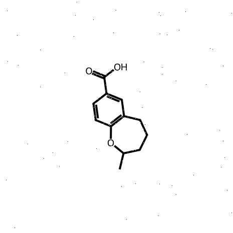 CC1CCCc2cc(C(=O)O)ccc2O1